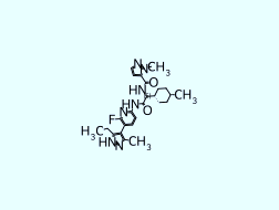 CCc1[nH]nc(C)c1-c1ccc(NC(=O)[C@@H](NC(=O)c2ccnn2C)[C@H]2CC[C@H](C)CC2)nc1F